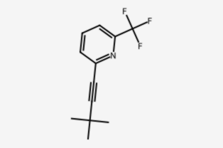 CC(C)(C)C#Cc1cccc(C(F)(F)F)n1